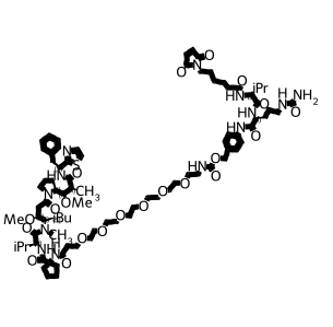 CC[C@H](C)[C@@H]([C@@H](CC(=O)N1CCC[C@H]1[C@H](OC)[C@@H](C)C(=O)N[C@@H](Cc1ccccc1)c1nccs1)OC)N(C)C(=O)[C@@H](NC(=O)C1(NC(=O)CCOCCOCCOCCOCCOCCOCCNC(=O)OCc2ccc(NC(=O)[C@H](CCCNC(N)=O)NC(=O)[C@@H](NC(=O)CCCCCN3C(=O)C=CC3=O)C(C)C)cc2)CCCC1)C(C)C